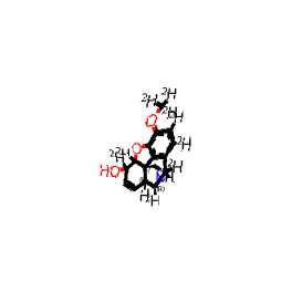 [2H]c1c([2H])c2c3c(c1OC([2H])([2H])[2H])OC1([2H])C([2H])(O)C=C[C@@H]4[C@@]31CCN(C)[C@]4([2H])C2([2H])[2H]